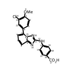 COc1ccc(-c2cccc3nc(Nc4ccc(C(=O)O)cc4)nn23)cc1Cl